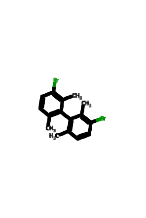 Cc1ccc(Br)c(C)c1-c1c(C)ccc(Br)c1C